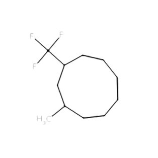 CC1CCCCCCC(C(F)(F)F)C1